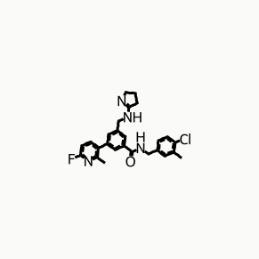 Cc1cc(CNC(=O)c2cc(CNC3=NCCC3)cc(-c3ccc(F)nc3C)c2)ccc1Cl